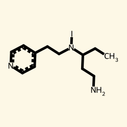 CCC(CCN)N(I)CCc1ccncc1